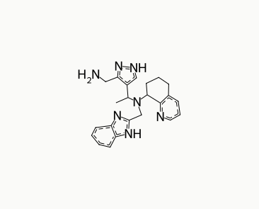 CC(c1c[nH]nc1CN)N(Cc1nc2ccccc2[nH]1)C1CCCc2cccnc21